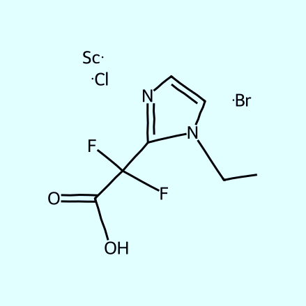 CCn1ccnc1C(F)(F)C(=O)O.[Br].[Cl].[Sc]